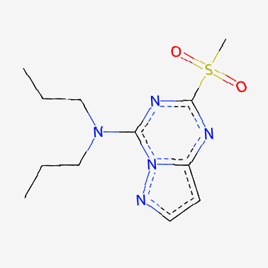 CCCN(CCC)c1nc(S(C)(=O)=O)nc2ccnn12